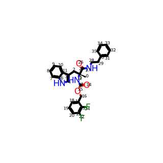 C[C@](Cc1c[nH]c2ccccc12)(NC(=O)OCc1cccc(F)c1F)C(=O)NCCc1ccccc1